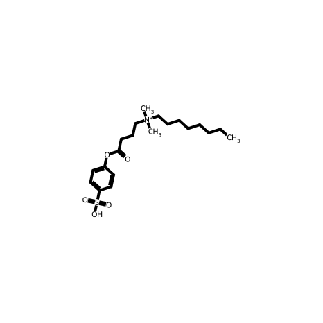 CCCCCCCC[N+](C)(C)CCCC(=O)Oc1ccc(S(=O)(=O)O)cc1